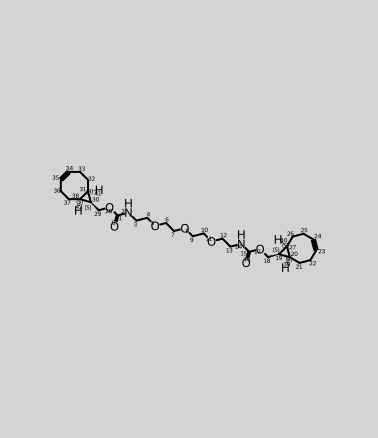 O=C(NCCOCCOCCOCCNC(=O)OC[C@@H]1[C@@H]2CCC#CCC[C@@H]21)OC[C@@H]1[C@@H]2CCC#CCC[C@@H]21